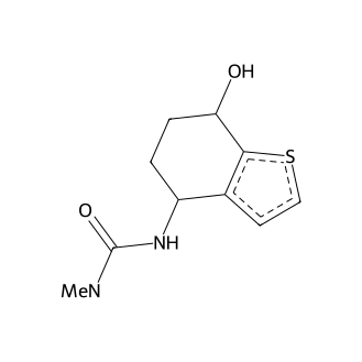 CNC(=O)NC1CCC(O)c2sccc21